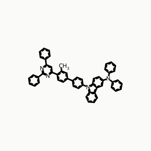 Cc1cc(-c2ccc(-n3c4ccccc4c4cc(N(c5ccccc5)c5ccccc5)ccc43)cc2)ccc1-c1cc(-c2ccccc2)nc(-c2ccccc2)n1